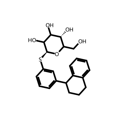 OCC1O[C@@H](Sc2cccc(C3CCCc4ccccc43)c2)C(O)C(O)[C@@H]1O